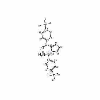 CC(C)(C)c1ccc(C(=O)C2=CC=C/C2=C(/N)c2ccc(C(C)(C)C)cc2)cc1